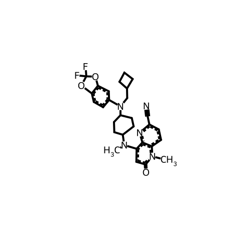 CN(c1cc(=O)n(C)c2ccc(C#N)nc12)C1CCC(N(CC2CCC2)c2ccc3c(c2)OC(F)(F)O3)CC1